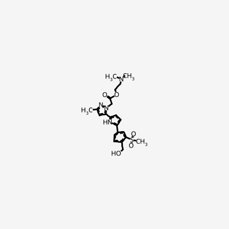 Cc1cc(-c2ccc(-c3ccc(CO)c(S(C)(=O)=O)c3)[nH]2)n(CC(=O)OCCN(C)C)n1